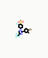 Cc1cc(-c2nc(C(F)(F)F)cn2-c2ccc(S(C)(=O)=O)c(F)c2)ccc1Br